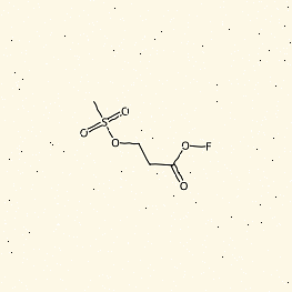 CS(=O)(=O)OCCC(=O)OF